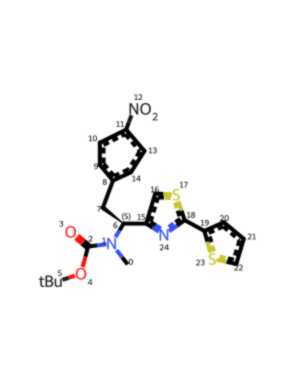 CN(C(=O)OC(C)(C)C)[C@@H](Cc1ccc([N+](=O)[O-])cc1)c1csc(-c2cccs2)n1